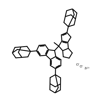 CC1(C2c3ccc(C45CC6CC(CC(C6)C4)C5)cc3-c3cc(C45CC6CC(CC(C6)C4)C5)ccc32)C2=C(CC(C34CC5CC(CC(C5)C3)C4)=C2)C2CCCC21.[Cl-].[Cl-].[Zr+2]